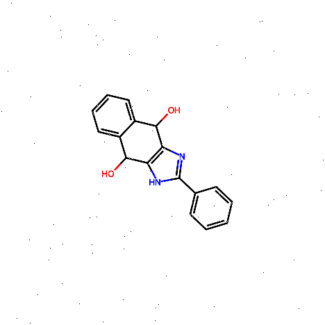 OC1c2ccccc2C(O)c2[nH]c(-c3ccccc3)nc21